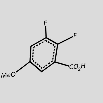 COc1cc(F)c(F)c(C(=O)O)c1